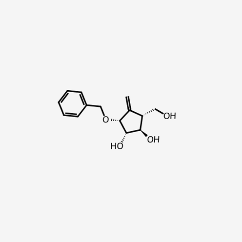 C=C1[C@@H](OCc2ccccc2)[C@@H](O)[C@H](O)[C@H]1CO